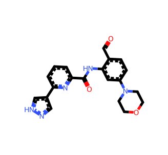 O=Cc1ccc(N2CCOCC2)cc1NC(=O)c1cccc(-c2cn[nH]c2)n1